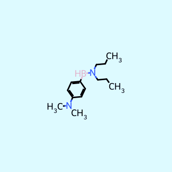 CCCN(Bc1ccc(N(C)C)cc1)CCC